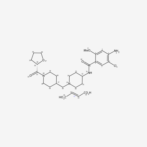 COc1cc(N)c(Cl)cc1C(=O)NC1CCN(CC2CCN(C(=O)[C@@H]3CCCO3)CC2)CC1.O=C(O)/C=C/C(=O)O